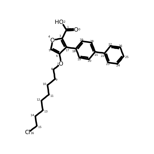 O=C(O)c1occ(OCCCCCCCCCl)c1-c1ccc(-c2ccccc2)cc1